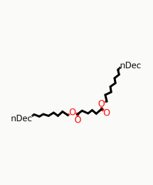 CCCCCCCCCCCCCCCCCCOC(=O)CCCCC(=O)OCCCCCCCCCCCCCCCCCC